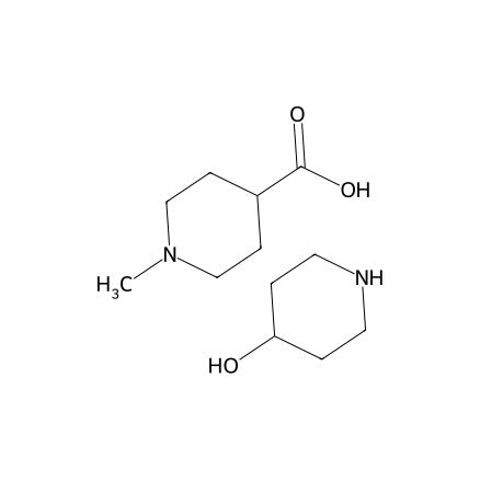 CN1CCC(C(=O)O)CC1.OC1CCNCC1